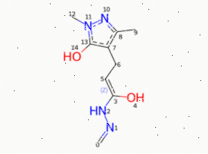 C=NN/C(O)=C/Cc1c(C)nn(C)c1O